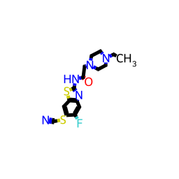 CCN1CCN(CC(=O)Nc2nc3cc(F)c(SC#N)cc3s2)CC1